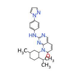 CC1CCC(C(C)C)C(n2c(=O)ccc3cnc(Nc4ccc(-n5cccn5)cc4)nc32)C1